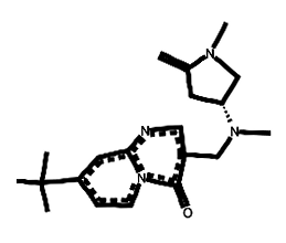 C=C1C[C@@H](N(C)Cc2cnc3cc(C(C)(C)C)ccn3c2=O)CN1C